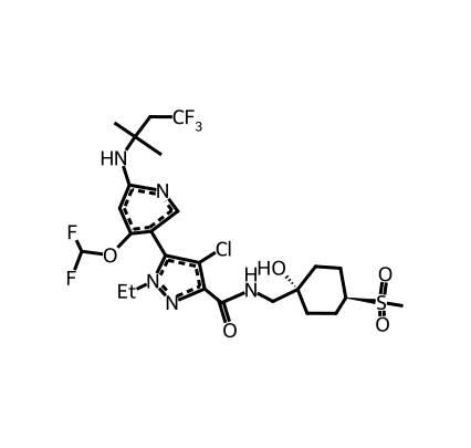 CCn1nc(C(=O)NC[C@]2(O)CC[C@H](S(C)(=O)=O)CC2)c(Cl)c1-c1cnc(NC(C)(C)CC(F)(F)F)cc1OC(F)F